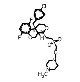 CN1CCN(CCCS(=O)(=O)CC[C@@H]2OCC[C@@]3(Cc4ccc(Cl)cc4)c4c(F)ccc(F)c4OC[C@@H]23)CC1